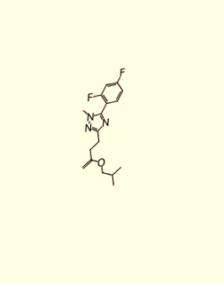 C=C(CCc1nc(-c2ccc(F)cc2F)n(C)n1)OCC(C)C